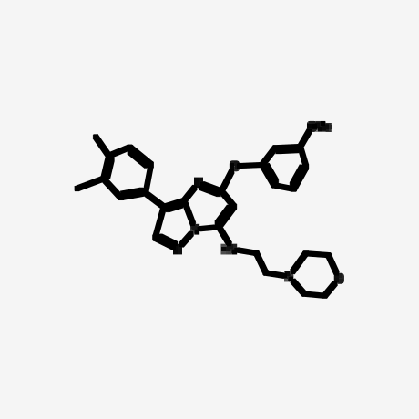 COc1cccc(Oc2cc(NCCN3CCOCC3)n3ncc(-c4ccc(C)c(C)c4)c3n2)c1